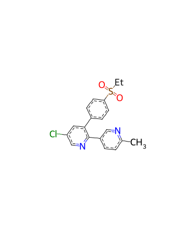 CCS(=O)(=O)c1ccc(-c2cc(Cl)cnc2-c2ccc(C)nc2)cc1